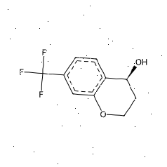 O[C@H]1CCOc2cc(C(F)(F)F)ccc21